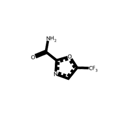 NC(=O)c1ncc(C(F)(F)F)o1